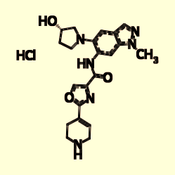 Cl.Cn1ncc2cc(N3CC[C@H](O)C3)c(NC(=O)c3coc(C4=CCNCC4)n3)cc21